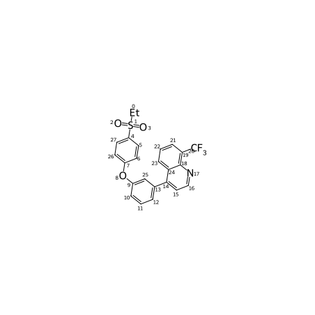 CCS(=O)(=O)c1ccc(Oc2cccc(-c3ccnc4c(C(F)(F)F)cccc34)c2)cc1